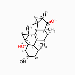 C[C@]12CCC3C(C1[C@@H]1C[C@@H]1C2=O)[C@H]1CC1[C@]1(O)C[C@@H](N=O)CC[C@]31C